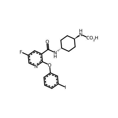 O=C(O)N[C@H]1CC[C@H](NC(=O)c2cc(F)cnc2Oc2cccc(I)c2)CC1